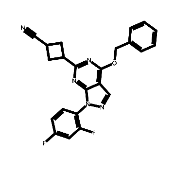 N#CC1CC(c2nc(OCc3ccccc3)c3cnn(-c4ccc(F)cc4F)c3n2)C1